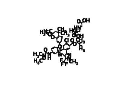 CC(C)OC(=O)c1cc(-c2nn(C)c(C(F)(F)F)c2Br)c(F)cc1Cl.CON(C)C(=O)Nc1ccc(Oc2ccc3c(c2)OC(C)(OC)CC3(C)C)cc1.O=C(O)CNCP(=O)(O)O